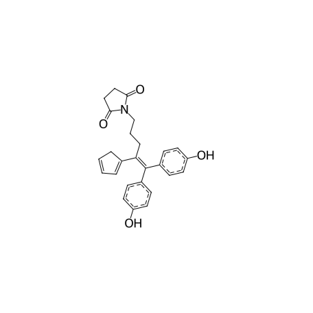 O=C1CCC(=O)N1CCCC(C1=CC=CC1)=C(c1ccc(O)cc1)c1ccc(O)cc1